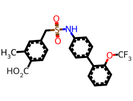 Cc1cc(CS(=O)(=O)Nc2ccc(-c3ccccc3OC(F)(F)F)cc2)ccc1C(=O)O